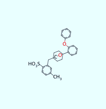 Cc1ccc(S(=O)(=O)O)c(CC23CCC(c4ccccc4Oc4ccccc4)(CC2)OC3)c1